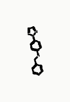 c1ccc(COc2ccc(-n3nccn3)cc2)cc1